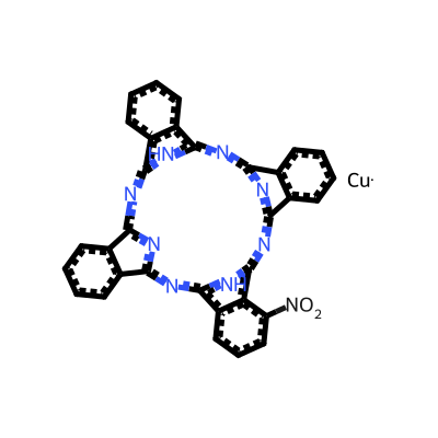 O=[N+]([O-])c1cccc2c3nc4nc(nc5[nH]c(nc6nc(nc([nH]3)c12)-c1ccccc1-6)c1ccccc51)-c1ccccc1-4.[Cu]